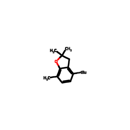 Cc1ccc(C(C)(C)C)c2c1OC(C)(C)C2